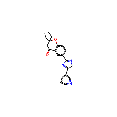 CCC1(CC)CC(=O)c2cc(C3=NCC(c4cccnc4)=N3)ccc2O1